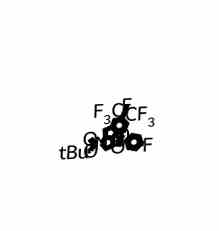 CC(C)(C)OC(=O)N1CCC2(S(=O)(=O)c3ccc(F)cc3)c3ccc(C(F)(C(F)(F)F)C(F)(F)F)cc3CC12